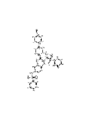 CN([C@@H](Cc1ccc(OS(=O)(=O)c2cccnc2)cc1)C(=O)N1CCN(c2ccc(F)cc2)CC1)S(=O)(=O)c1cccnc1